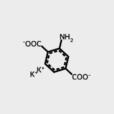 Nc1cc(C(=O)[O-])ccc1C(=O)[O-].[K+].[K+]